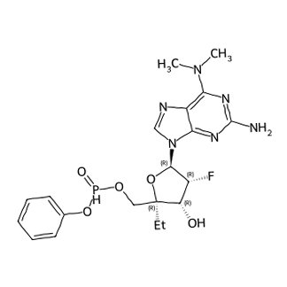 CC[C@]1(CO[PH](=O)Oc2ccccc2)O[C@@H](n2cnc3c(N(C)C)nc(N)nc32)[C@H](F)[C@@H]1O